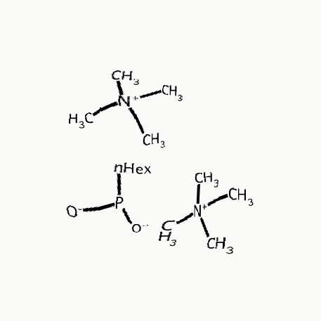 CCCCCCP([O-])[O-].C[N+](C)(C)C.C[N+](C)(C)C